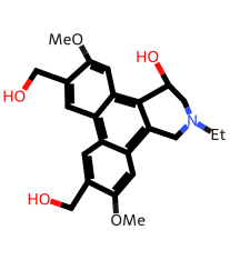 CCN1Cc2c(c3cc(OC)c(CO)cc3c3cc(CO)c(OC)cc23)C(O)C1